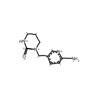 Nc1ccc(CN2CCCNC2=O)cn1